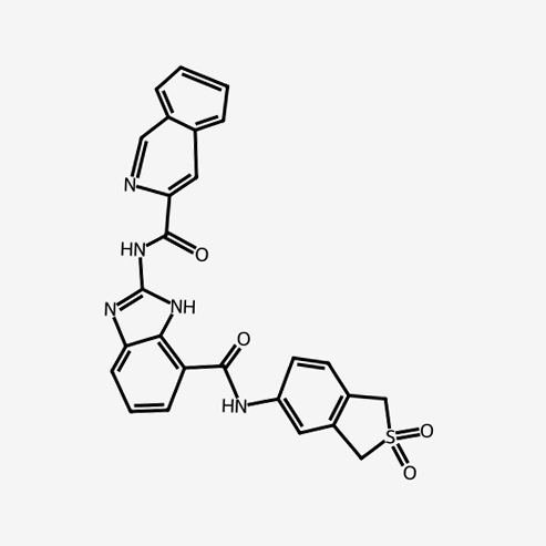 O=C(Nc1nc2cccc(C(=O)Nc3ccc4c(c3)CS(=O)(=O)C4)c2[nH]1)c1cc2ccccc2cn1